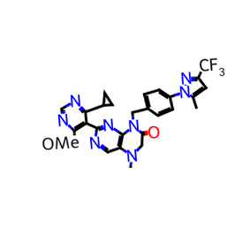 COc1ncnc(C2CC2)c1-c1ncc2c(n1)N(Cc1ccc(-n3nc(C(F)(F)F)cc3C)cc1)C(=O)CN2C